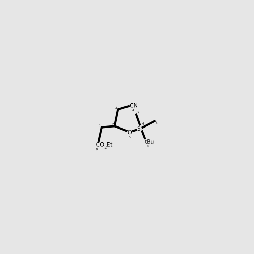 CCOC(=O)CC(CC#N)O[Si](C)(C)C(C)(C)C